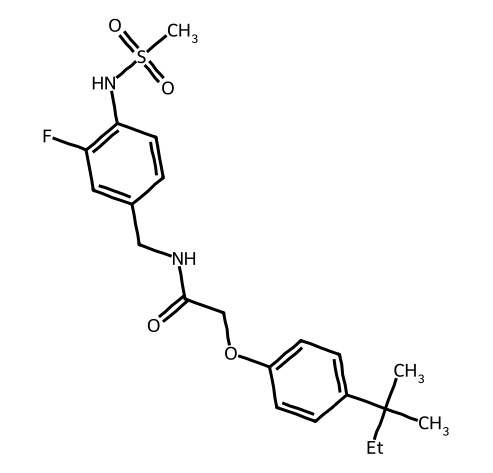 CCC(C)(C)c1ccc(OCC(=O)NCc2ccc(NS(C)(=O)=O)c(F)c2)cc1